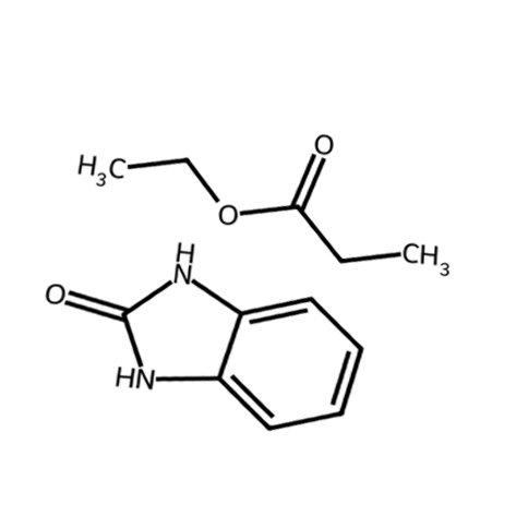 CCOC(=O)CC.O=c1[nH]c2ccccc2[nH]1